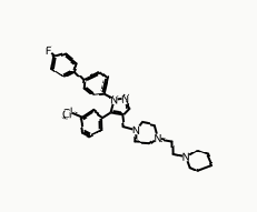 Fc1ccc(-c2ccc(-n3ncc(CN4CCN(CCN5CCCCC5)CC4)c3-c3cccc(Cl)c3)cc2)cc1